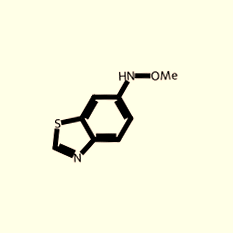 CONc1ccc2ncsc2c1